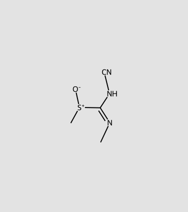 CN=C(NC#N)[S+](C)[O-]